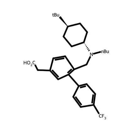 CCCCN(Cc1ccc(CC(=O)O)cc1-c1ccc(C(F)(F)F)cc1)[C@H]1CC[C@H](C(C)(C)C)CC1